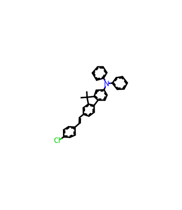 CC1(C)c2cc(/C=C/c3ccc(Cl)cc3)ccc2-c2ccc(N(c3ccccc3)c3ccccc3)cc21